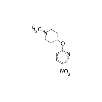 CN1CCC(Oc2ccc([N+](=O)[O-])cn2)CC1